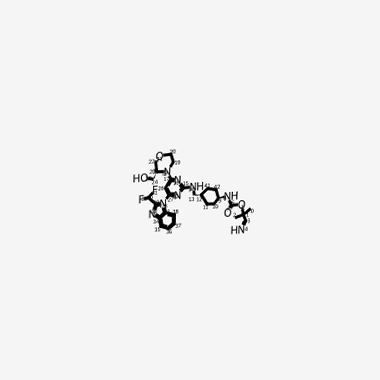 CC(C)(C=N)OC(=O)N[C@H]1CC[C@H](CNc2nc(N3CCOC[C@H]3CO)cc(-n3c(C(F)F)nc4ccccc43)n2)CC1